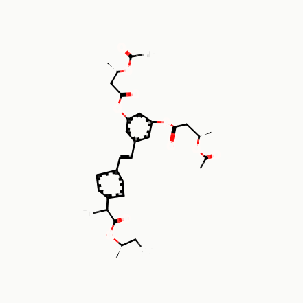 CCCC(=O)O[C@H](C)CC(=O)Oc1cc(/C=C/c2ccc(C(CC)C(=O)O[C@H](C)CC(=O)O)cc2)cc(OC(=O)C[C@@H](C)OC(=O)CCC)c1